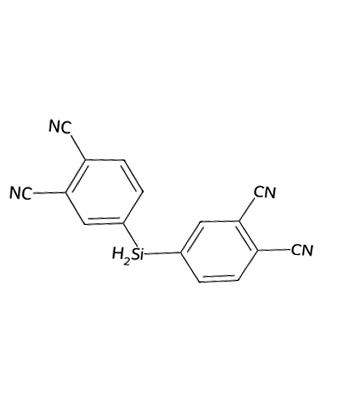 N#Cc1ccc([SiH2]c2ccc(C#N)c(C#N)c2)cc1C#N